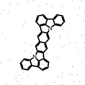 c1ccc2c(c1)c1cccc3c4cc5cc6c(cc5cc4n2c13)c1cccc2c3ccccc3n6c21